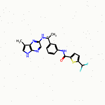 Cc1c[nH]c2ncc(N[C@@H](C)c3cccc(NC(=O)c4ccc(C(F)F)s4)c3)nc12